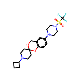 O=S(=O)(N1CCN(c2ccc3c(c2)COC2(CCN(C4CCC4)CC2)O3)CC1)C(F)(F)F